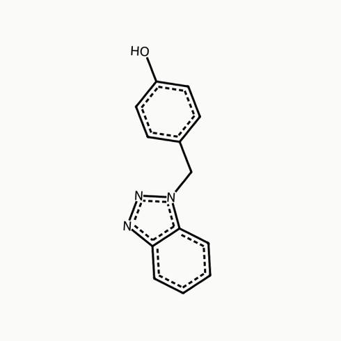 Oc1ccc(Cn2nnc3ccccc32)cc1